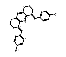 Oc1ccc(C=C2CCCc3cc4c(nc32)C(=Cc2ccc(O)cc2)CCC4)cc1